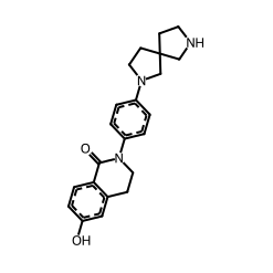 O=C1c2ccc(O)cc2CCN1c1ccc(N2CCC3(CCNC3)C2)cc1